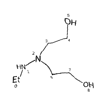 CCNN(CCO)CCO